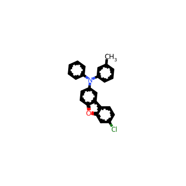 Cc1cccc(N(c2ccccc2)c2ccc3oc4cc(Cl)ccc4c3c2)c1